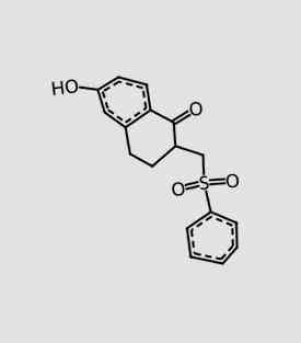 O=C1c2ccc(O)cc2CCC1CS(=O)(=O)c1ccccc1